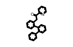 O=C(Cc1ccccc1-c1ccccc1-c1ccccc1)c1ccccn1